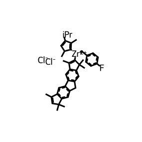 CC1=CC(C)(C)c2cc3c(cc21)-c1cc2c(cc1C3)C(C)(C)[C]([Zr+2](=[CH]c1ccc(F)cc1)[C]1=C(C)C(C(C)C)=CC1C)=C2C.[Cl-].[Cl-]